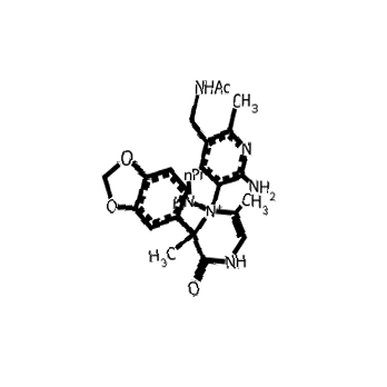 CCCN[N+]1(c2cc(CNC(C)=O)c(C)nc2N)C(C)=CNC(=O)C1(C)c1ccc2c(c1)OCO2